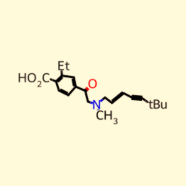 CCc1cc(C(=O)CN(C)CC=CC#CC(C)(C)C)ccc1C(=O)O